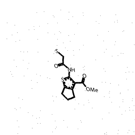 COC(=O)c1c(NC(=O)C[S])sc2c1CCC2